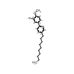 CCCCCCCCCCc1ccc(-c2ccc(OC)c(F)c2)nc1